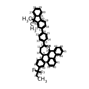 CCC(F)(F)c1ccc(C2CCC(c3ccc(-c4ccc5c(c4)C(C)(C)c4ccccc4-5)cc3)=Nc3c2c2ccccc2c2ccccc32)cc1